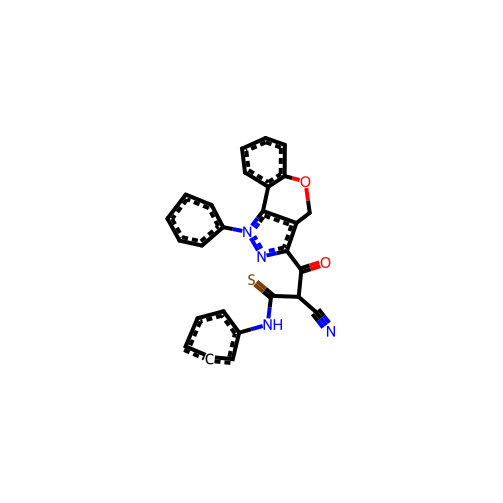 N#CC(C(=O)c1nn(-c2ccccc2)c2c1COc1ccccc1-2)C(=S)Nc1ccccc1